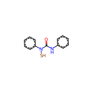 O=C(Nc1ccccc1)N(S)c1ccccc1